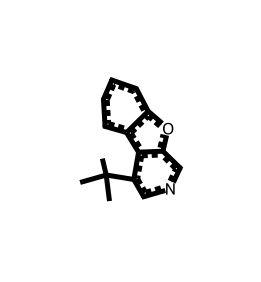 CC(C)(C)c1cncc2oc3ccccc3c12